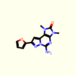 Cn1c(=O)n(C)c2c1nc(N)n1nc(-c3ccco3)cc21